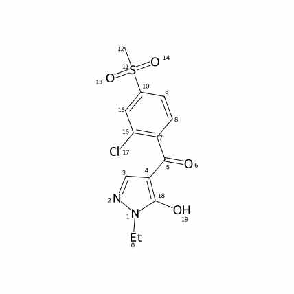 CCn1ncc(C(=O)c2ccc(S(C)(=O)=O)cc2Cl)c1O